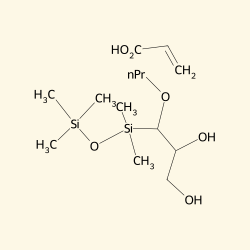 C=CC(=O)O.CCCOC(C(O)CO)[Si](C)(C)O[Si](C)(C)C